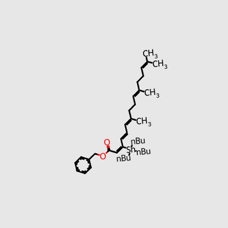 CCC[CH2][Sn]([CH2]CCC)([CH2]CCC)[C](/C=C/C=C(\C)CC/C=C(\C)CCC=C(C)C)=C/C(=O)OCc1ccccc1